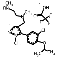 CNCCN(C)Cc1cnn(C)c1-c1ccc(OC(C)C)c(Cl)c1.O=C(O)C(F)(F)F